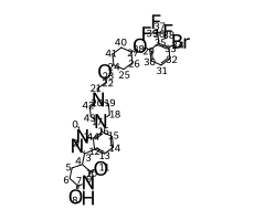 Cn1nc(C2CCC(=O)NC2=O)c2cccc(N3CCN(CCOC4CCC(Oc5cccc(Br)c5C(F)(F)F)CC4)CC3)c21